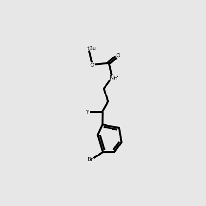 CC(C)(C)OC(=O)NCCC(F)c1cccc(Br)c1